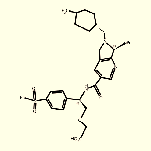 CCS(=O)(=O)c1ccc([C@H](COCC(=O)O)NC(=O)c2cnc3c(c2)CN(C[C@H]2CC[C@H](C(F)(F)F)CC2)[C@H]3C(C)C)cc1